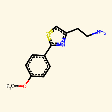 NCCc1csc(-c2ccc(OC(F)(F)F)cc2)n1